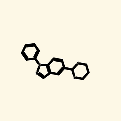 c1ccc(-n2ncc3cc(C4SCCCS4)ccc32)cc1